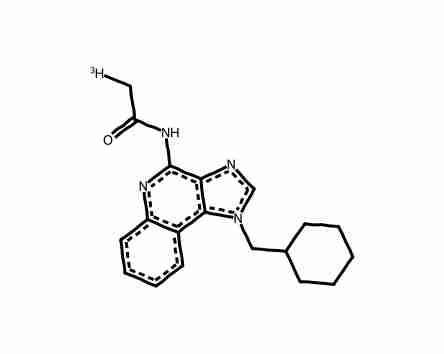 [3H]CC(=O)Nc1nc2ccccc2c2c1ncn2CC1CCCCC1